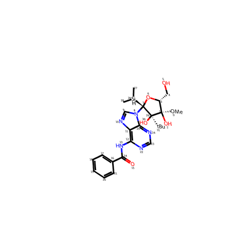 CO[C@@]1(O)[C@@H](CO)O[C@](n2cnc3c(NC(=O)c4ccccc4)ncnc32)([SiH](C)C)[C@@]1(O)C(C)(C)C